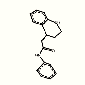 O=C(CC1CCNc2ccccc21)Nc1ccccc1